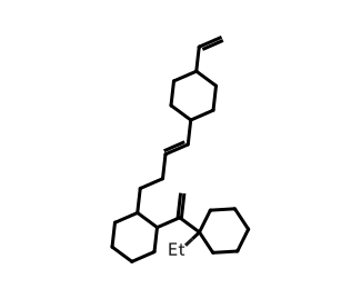 C=CC1CCC(/C=C/CCC2CCCCC2C(=C)C2(CC)CCCCC2)CC1